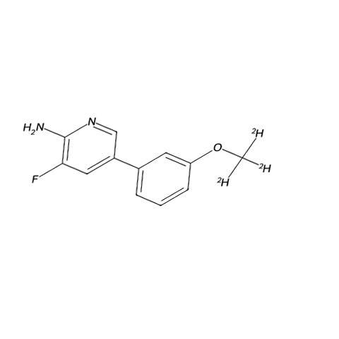 [2H]C([2H])([2H])Oc1cccc(-c2cnc(N)c(F)c2)c1